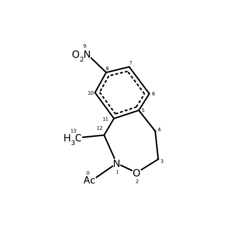 CC(=O)N1OCCc2ccc([N+](=O)[O-])cc2C1C